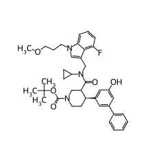 COCCCn1cc(CN(C(=O)C2CN(C(=O)OC(C)(C)C)CC[C@@H]2c2cc(O)cc(-c3ccccc3)c2)C2CC2)c2c(F)cccc21